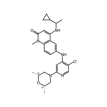 CC(Nc1cc(=O)n(C)c2ccc(Nc3cc(N4C[C@@H](C)O[C@@H](C)C4)ncc3Cl)cc12)C1CC1